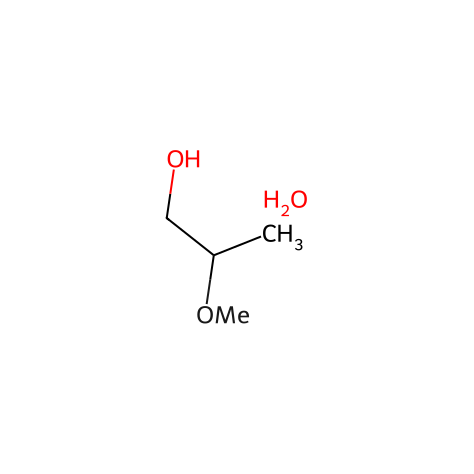 COC(C)CO.O